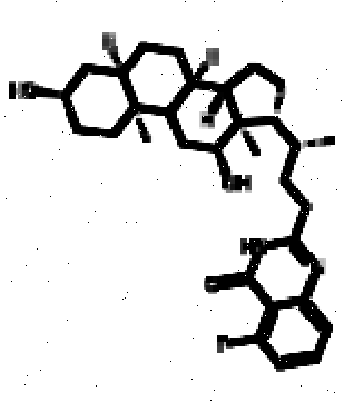 C[C@H](CCc1nc2cccc(F)c2c(=O)[nH]1)[C@H]1CC[C@H]2[C@@H]3CC[C@@H]4C[C@H](O)CC[C@]4(C)C3C[C@H](O)[C@]12C